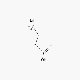 CC[CH]C(=O)O.[LiH]